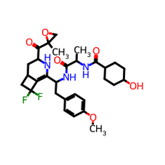 COc1ccc(CC(NC(=O)C(C)NC(=O)C2CCC(O)CC2)C2=C3C(CC(C(=O)C4(C)CO4)N2)CC3(F)F)cc1